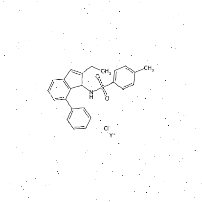 CCC1=Cc2cccc(-c3ccccc3)c2C1NS(=O)(=O)c1ccc(C)cc1.[Cl-].[Y+]